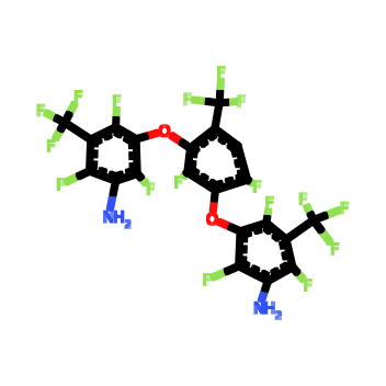 Nc1c(F)c(Oc2c(F)cc(C(F)(F)F)c(Oc3c(F)c(N)c(F)c(C(F)(F)F)c3F)c2F)c(F)c(C(F)(F)F)c1F